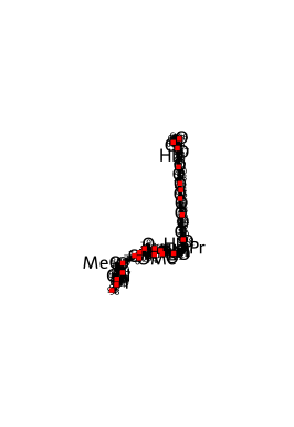 C=C(OC)/C(=C\C1=C(C)C(=O)N2C=C(c3ccc(NC(=O)[C@H](C)NC(=O)[C@@H](NC(=O)CCOCCOCCOCCOCCOCCOCCOCCOCCNC(=O)CCN4C(=O)C=CC4=O)C(C)C)cc3)C[C@H]2C=N1)OCCCOc1cc2c(cc1OC)C(=O)N1C=C(C3CC3)C[C@H]1C=N2